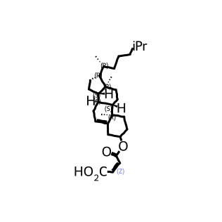 CC(C)CCC[C@@H](C)[C@H]1CC[C@H]2[C@@H]3CC=C4CC(OC(=O)/C=C\C(=O)O)CC[C@]4(C)[C@H]3CC[C@]12C